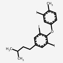 Cc1ccc(Oc2c(I)cc(CCC(C)C)cc2I)cc1I